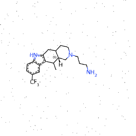 CC1c2c([nH]c3ccc(C(F)(F)F)cc23)CC2CCN(CCCN)C[C@@H]21